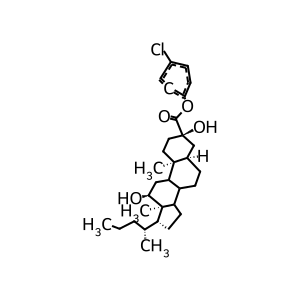 CCC[C@@H](C)[C@H]1CCC2C3CC[C@@H]4C[C@@](O)(C(=O)Oc5ccc(Cl)cc5)CC[C@]4(C)C3C[C@H](O)[C@@]21C